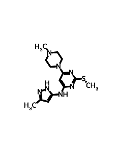 CSc1nc(Nc2cc(C)n[nH]2)cc(N2CCN(C)CC2)n1